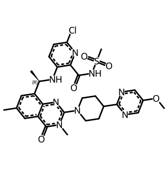 COc1cnc(C2CCN(c3nc4c([C@@H](C)Nc5ccc(Cl)nc5C(=O)NS(C)(=O)=O)cc(C)cc4c(=O)n3C)CC2)nc1